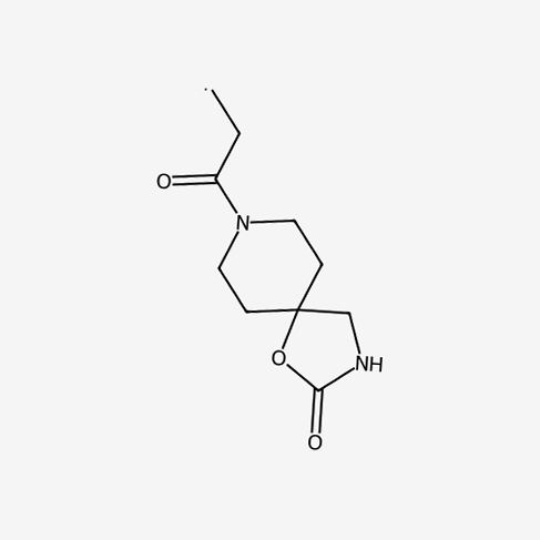 [CH2]CC(=O)N1CCC2(CC1)CNC(=O)O2